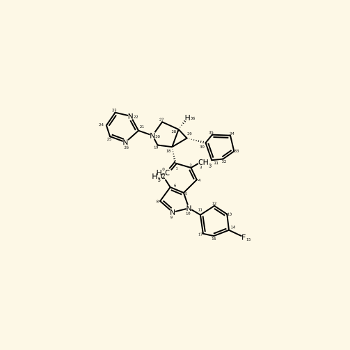 C=C(/C(C)=C\c1c(C)cnn1-c1ccc(F)cc1)[C@]12CN(c3ncccn3)C[C@H]1[C@@H]2c1ccccc1